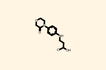 O=C1COCCN1c1ccc(NCCC(O)Cl)cc1